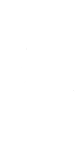 COCCCCOC(=O)OOC(=O)O